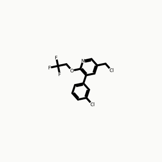 FC(F)(F)COc1ncc(CCl)cc1-c1cccc(Cl)c1